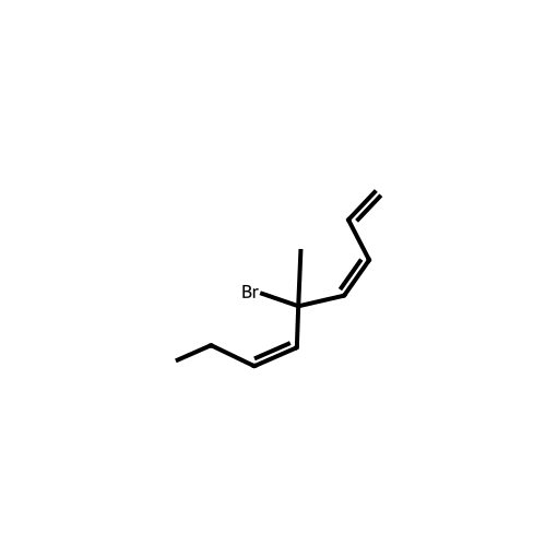 C=C/C=C\C(C)(Br)/C=C\CC